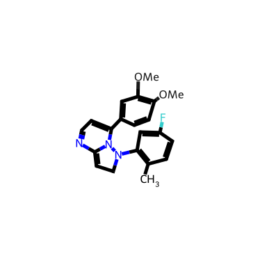 COc1ccc(C2=CC=NC3=CCN(c4cc(F)ccc4C)N32)cc1OC